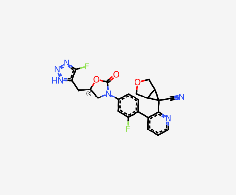 N#CC1(c2ncccc2-c2ccc(N3C[C@@H](Cc4[nH]nnc4F)OC3=O)cc2F)C2COCC21